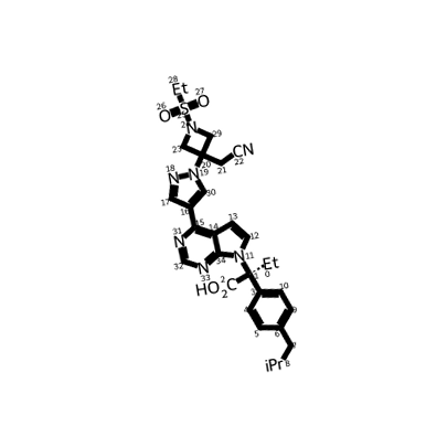 CC[C@@](C(=O)O)(c1ccc(CC(C)C)cc1)n1ccc2c(-c3cnn(C4(CC#N)CN(S(=O)(=O)CC)C4)c3)ncnc21